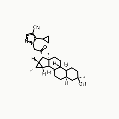 C[C@H]1[C@H]2C3[C@@H]4CC[C@@H]5C[C@](C)(O)CC[C@@H]5[C@H]4CC[C@]3(C)[C@@H](C(=O)Cn3ncc(C#N)c3C3CC3)[C@@H]12